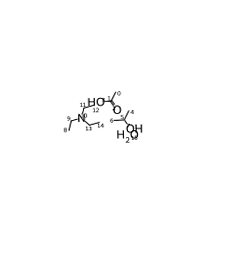 CC(=O)O.CC(C)O.CCN(CC)CC.O